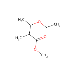 CCOC(C)C(C)C(=O)OC